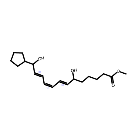 COC(=O)CCCCC(O)/C=C/C=C\C=C\C(O)C1CCCC1